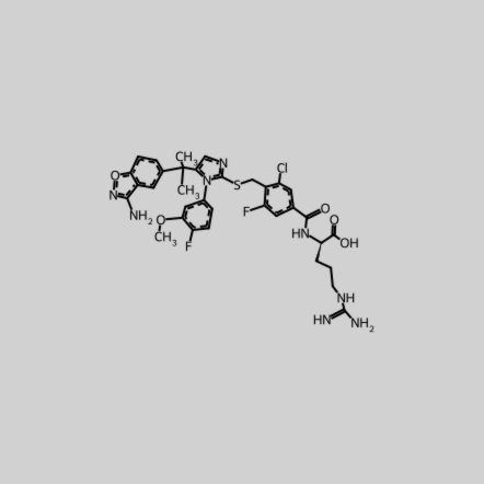 COc1cc(-n2c(C(C)(C)c3ccc4onc(N)c4c3)cnc2SCc2c(F)cc(C(=O)N[C@H](CCCNC(=N)N)C(=O)O)cc2Cl)ccc1F